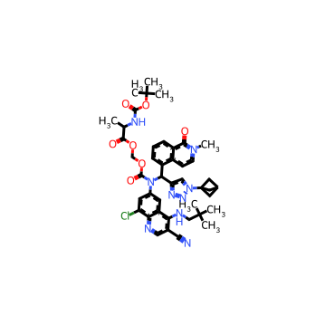 CC(NC(=O)OC(C)(C)C)C(=O)OCOC(=O)N(c1cc(Cl)c2ncc(C#N)c(NCC(C)(C)C)c2c1)C(c1cn(C23CC(C2)C3)nn1)c1cccc2c(=O)n(C)ccc12